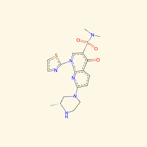 C[C@@H]1CN(c2ccc3c(=O)c(S(=O)(=O)N(C)C)cn(-c4nccs4)c3n2)CCN1